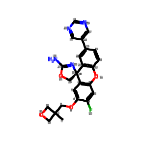 CC1(COc2cc3c(cc2F)Oc2ccc(-c4cncnc4)cc2[C@]32COC(N)=N2)COC1